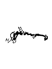 Nc1c(Cl)cc(C(O)CNCCCCCCOCCCc2ccccn2)cc1Cl